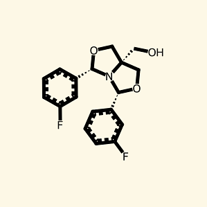 OC[C@]12CO[C@H](c3cccc(F)c3)N1[C@H](c1cccc(F)c1)OC2